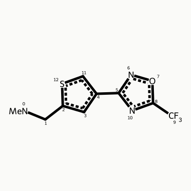 CNCc1cc(-c2noc(C(F)(F)F)n2)cs1